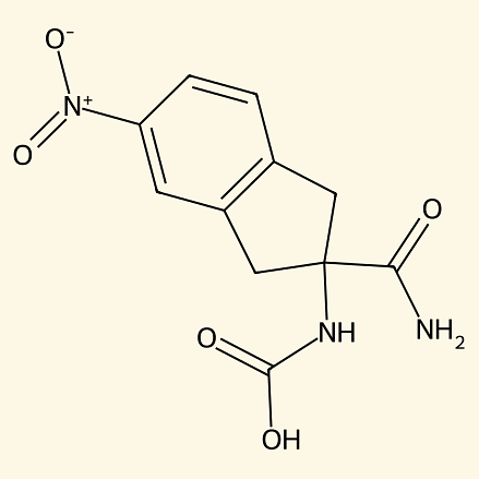 NC(=O)C1(NC(=O)O)Cc2ccc([N+](=O)[O-])cc2C1